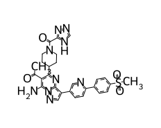 CC(=O)c1c(C2CCN(C(=O)c3nnc[nH]3)CC2)nc2c(-c3ccc(-c4ccc(S(C)(=O)=O)cc4)nc3)cnn2c1N